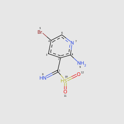 N=C(c1cc(Br)cnc1N)[SH](=O)=O